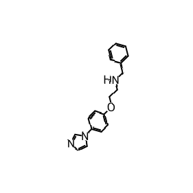 c1ccc(CNCCOc2ccc(-n3ccnc3)cc2)cc1